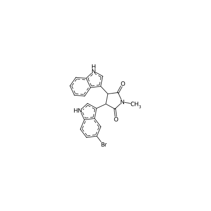 CN1C(=O)C(c2c[nH]c3ccccc23)C(c2c[nH]c3ccc(Br)cc23)C1=O